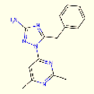 Cc1cc(-n2nc(N)nc2Cc2ccccc2)nc(C)n1